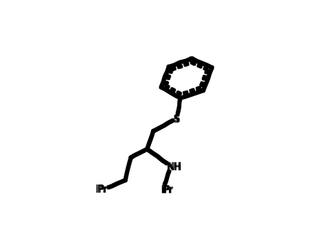 CC(C)CCC(CSc1ccccc1)NC(C)C